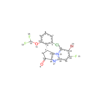 O=C1C[C@H](c2c(Cl)cccc2OC(F)F)c2c1nc1cc(F)c(Br)cn21